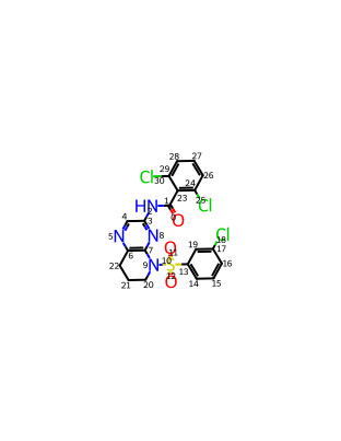 O=C(Nc1cnc2c(n1)N(S(=O)(=O)c1cccc(Cl)c1)CCC2)c1c(Cl)cccc1Cl